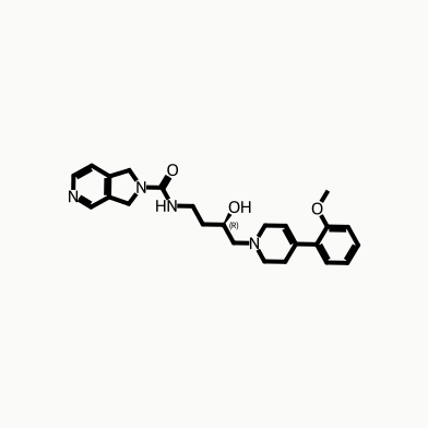 COc1ccccc1C1=CCN(C[C@H](O)CCNC(=O)N2Cc3ccncc3C2)CC1